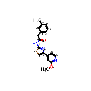 COc1cc(-c2csc(NC(=O)Cc3cccc(C)c3)n2)ccn1